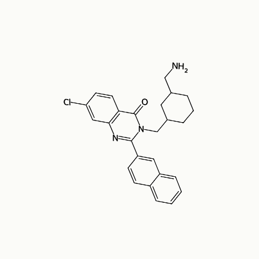 NCC1CCCC(Cn2c(-c3ccc4ccccc4c3)nc3cc(Cl)ccc3c2=O)C1